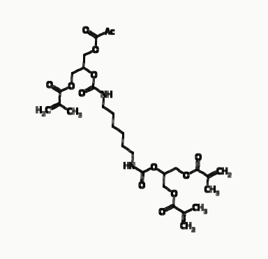 C=C(C)C(=O)OCC(COC(=O)C(=C)C)OC(=O)NCCCCCCNC(=O)OC(COC(=O)C(=C)C)COC(=O)C(C)=O